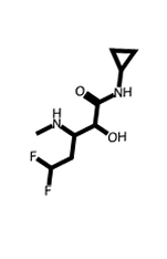 CNC(CC(F)F)C(O)C(=O)NC1CC1